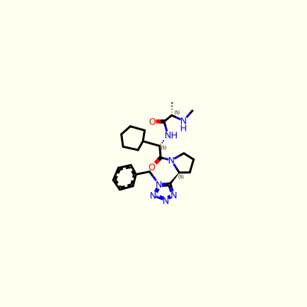 CN[C@@H](C)C(=O)N[C@H](C(=O)N1CCC[C@H]1c1nnnn1Cc1ccccc1)C1CCCCC1